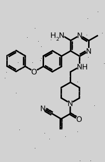 C=C(C#N)C(=O)N1CCC(CNc2nc(C)nc(N)c2-c2ccc(Oc3ccccc3)cc2)CC1